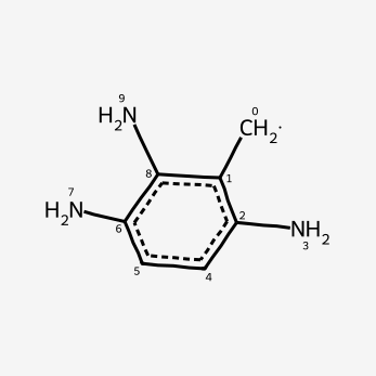 [CH2]c1c(N)ccc(N)c1N